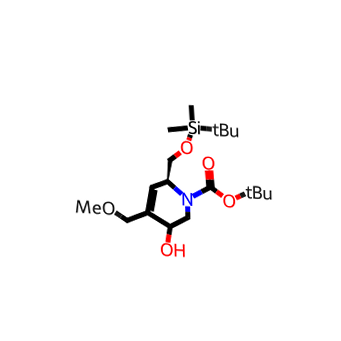 COCC1=C[C@@H](CO[Si](C)(C)C(C)(C)C)N(C(=O)OC(C)(C)C)CC1O